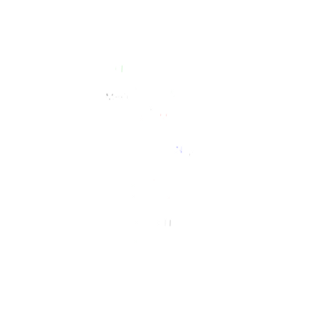 COc1c(Cl)ccc(Cl)c1C(=O)OCCN(C)CCOC(=O)c1c(Cl)ccc(Cl)c1C